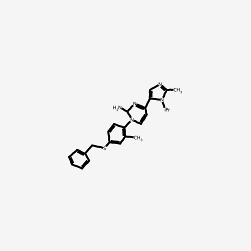 Cc1cc(SCc2ccccc2)ccc1N1C=CC(c2cnc(C)n2C(C)C)=NC1N